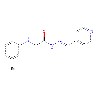 CCc1cccc(NCC(=O)N/N=C/c2ccncc2)c1